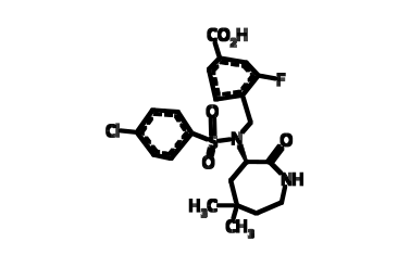 CC1(C)CCNC(=O)[C@H](N(Cc2ccc(C(=O)O)cc2F)S(=O)(=O)c2ccc(Cl)cc2)C1